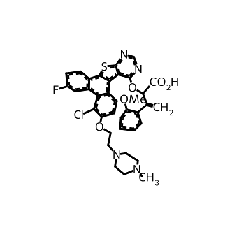 C=C(c1ccccc1OC)C(Oc1ncnc2sc3c4ccc(F)cc4c4c(Cl)c(OCCN5CCN(C)CC5)ccc4c3c12)C(=O)O